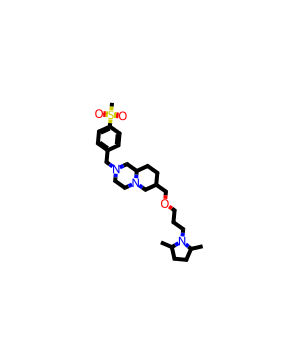 CC1CCC(C)N1CCCOCC1CCC2CN(Cc3ccc(S(C)(=O)=O)cc3)CCN2C1